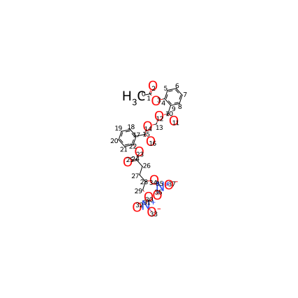 CC(=O)Oc1ccccc1C(=O)OCOC(=O)c1ccccc1OC(=O)CCC(CO[N+](=O)[O-])O[N+](=O)[O-]